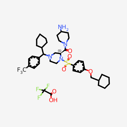 NC1CCN(C(=O)[C@@H]2CN(C(c3ccc(C(F)(F)F)cc3)C3CCCCC3)CCN2S(=O)(=O)c2ccc(OCC3CCCCC3)cc2)CC1.O=C(O)C(F)(F)F